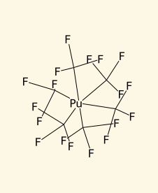 F[C](F)(F)[Pu]([C](F)(F)F)([C](F)(F)F)([C](F)(F)F)([C](F)(F)F)[C](F)(F)F